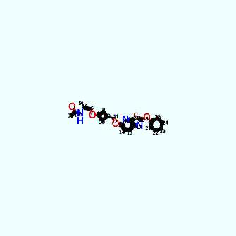 CC(=O)N[C@@H](C)CO[C@H]1C[C@H](COc2ccc3nc(OC4CCCCC4)sc3n2)C1